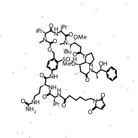 CC[C@H](C)[C@@H]([C@@H](CC(=O)N1CCC[C@H]1[C@H](OC)[C@@H](C)C(=O)N[C@H](C)[C@@H](O)c1ccccc1)OC)N(C)C(=O)[C@@H](NC(=O)[C@H](C(C)C)N(C)C(=O)OCc1ccc(NC(=O)[C@H](CCCNC(N)=O)NC(=O)[C@@H](NC(=O)CCCCCN2C(=O)C=CC2=O)C(C)C)cc1S(=O)(=O)O)C(C)C